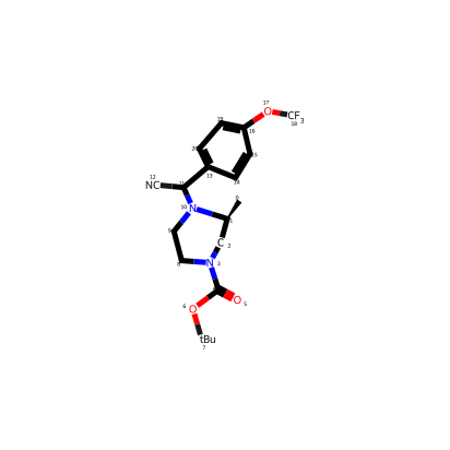 C[C@H]1CN(C(=O)OC(C)(C)C)CCN1C(C#N)c1ccc(OC(F)(F)F)cc1